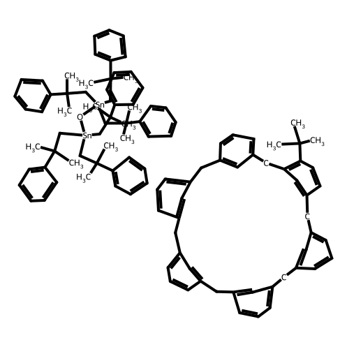 CC(C)(C)c1ccc2cc1Cc1cccc(c1)Cc1cccc(c1)Cc1cccc(c1)Cc1cccc(c1)Cc1cccc(c1)C2.CC(C)([CH2][Sn]([CH2]C(C)(C)c1ccccc1)([CH2]C(C)(C)c1ccccc1)[O][Sn]([CH2]C(C)(C)c1ccccc1)([CH2]C(C)(C)c1ccccc1)[CH2]C(C)(C)c1ccccc1)c1ccccc1